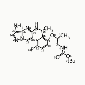 C[C@@H](CNC(=O)OC(C)(C)C)Oc1ccc(F)cc1[C@@H](C)Nc1ccn2ncc(N)c2n1